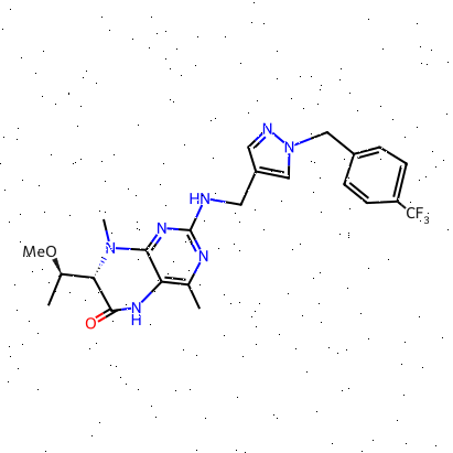 CO[C@H](C)[C@H]1C(=O)Nc2c(C)nc(NCc3cnn(Cc4ccc(C(F)(F)F)cc4)c3)nc2N1C